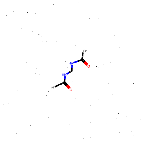 CC(C)C(=O)NCNC(=O)C(C)C